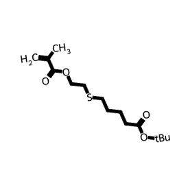 C=C(C)C(=O)OCCSCCCCC(=O)OC(C)(C)C